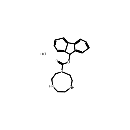 Cl.O=C(OC1c2ccccc2-c2ccccc21)N1CCNCCNCC1